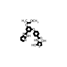 COC[C@H](C)Oc1cc(Oc2ccc(C(=O)NC3C(O)CSC3O)cc2)cc(-c2nc3cccnc3[nH]2)c1